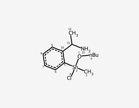 CCCC[O][Sn]([CH3])([Cl])[c]1ccccc1C(C)N